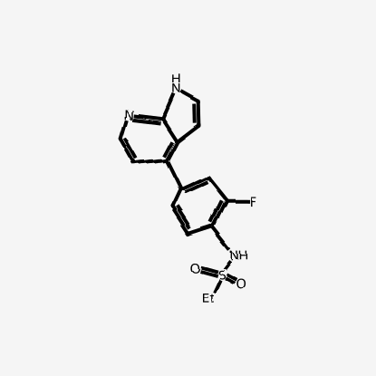 CCS(=O)(=O)Nc1ccc(-c2ccnc3[nH]ccc23)cc1F